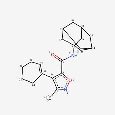 Cc1noc(C(=O)NC23CC4CC(CC(C4)C2)C3)c1C1=CCCCC1